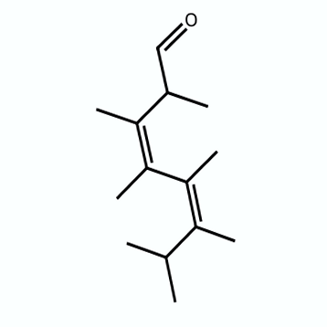 CC(/C(C)=C(/C)C(C)C=O)=C(\C)C(C)C